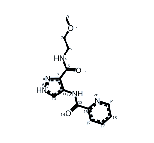 COCCNC(=O)c1n[nH]cc1NC(=O)c1ccccn1